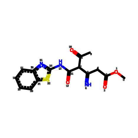 COC(=O)CC(=N)C(C(C)=O)C(=O)Nc1nc2ccccc2s1